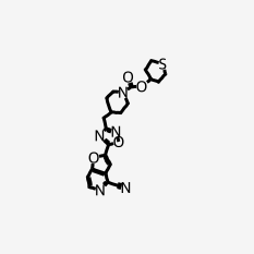 N#Cc1nccc2oc(-c3nc(CC4CCN(C(=O)OC5CCSCC5)CC4)no3)cc12